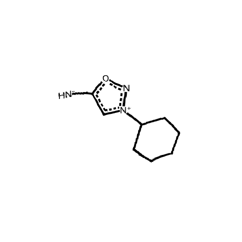 [NH-]c1c[n+](C2CCCCC2)no1